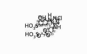 O=S(=O)(O)OCCS(=O)(=O)c1ccc(Nc2nc(Cl)nc(Nc3ccc4cc(S(=O)(=O)O)cc(O)c4c3)n2)cc1